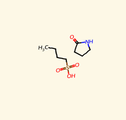 CCCCS(=O)(=O)O.O=C1CCCN1